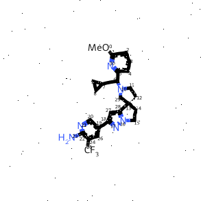 COc1cccc(C(C2CC2)N2CC[C@@]3(CCn4nc(-c5cnc(N)c(C(F)(F)F)c5)cc43)C2)n1